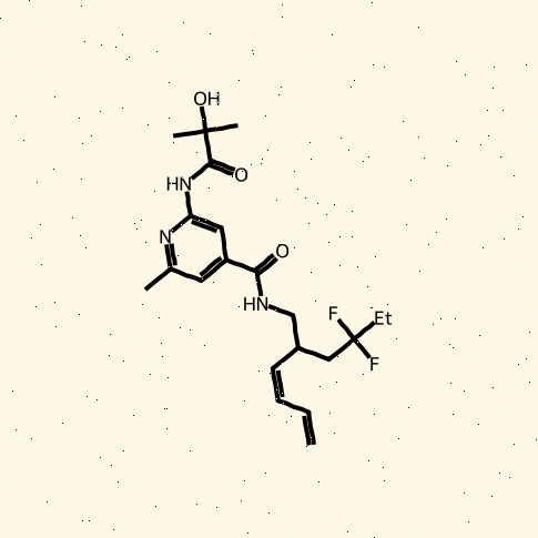 C=C/C=C\C(CNC(=O)c1cc(C)nc(NC(=O)C(C)(C)O)c1)CC(F)(F)CC